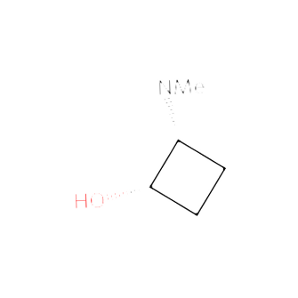 CN[C@@H]1CC[C@@H]1O